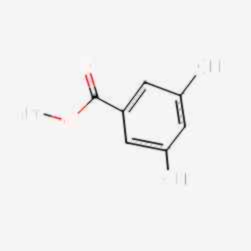 Cc1cc(C)cc(C(=O)OC(C)C)c1